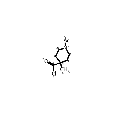 CC(=O)N1CCC(C)(C(=O)Cl)CC1